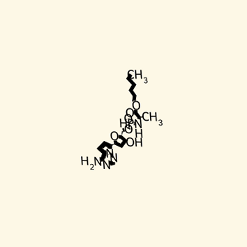 CCCCCCOC(=O)[C@H](C)N[PH](=O)OC[C@H]1O[C@@H](c2ccc3c(N)ncnn23)C[C@@H]1O